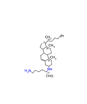 CC(C)CCC[C@@H](C)[C@H]1CCC2C3CC=C4CC(N[C@H]([C]=O)CCCCN)CC[C@]4(C)C3CC[C@@]21C